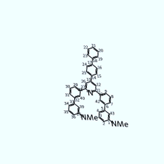 CNc1cccc(-c2cccc(-c3cc(-c4ccc(-c5ccccc5)cc4)cc(-c4cccc(-c5cccc(NC)c5)c4)n3)c2)c1